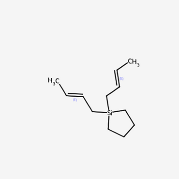 C/C=C/C[Si]1(C/C=C/C)CCCC1